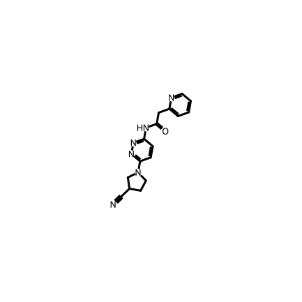 N#CC1CCN(c2ccc(NC(=O)Cc3ccccn3)nn2)C1